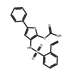 C=Cc1ccccc1S(=O)(=O)Nc1cc(-c2ccccc2)sc1OC(=O)O